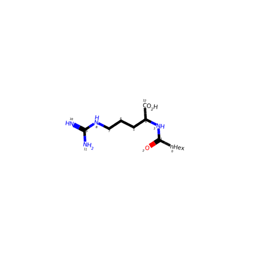 CCCCCCC(=O)NC(CCCNC(=N)N)C(=O)O